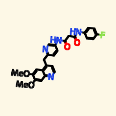 COc1cc2nccc(Cc3ccc(NC(=O)CC(=O)Nc4ccc(F)cc4)cn3)c2cc1OC